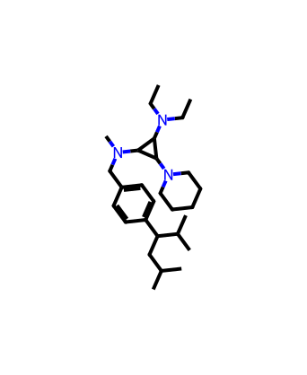 CCN(CC)C1C(N(C)Cc2ccc(C(CC(C)C)C(C)C)cc2)C1N1CCCCC1